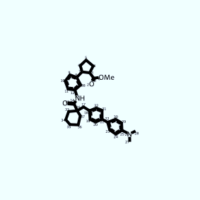 COC(=O)C1CCCC1c1cccc(NC(=O)C2(Cc3ccc(-c4ccc(N(C)C)cc4)cc3)CCCCC2)c1